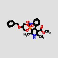 COC(=O)C1=C(C)NC(C)=C(P2(=O)OCC(OCc3ccccc3)CO2)C1c1ccccc1[N+](=O)[O-]